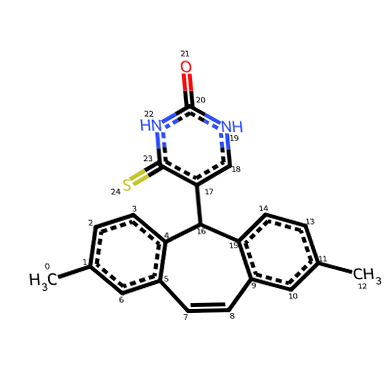 Cc1ccc2c(c1)C=Cc1cc(C)ccc1C2c1c[nH]c(=O)[nH]c1=S